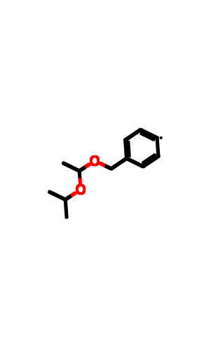 CC(C)OC(C)OCc1cc[c]cc1